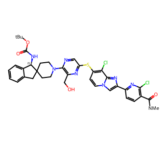 CNC(=O)c1ccc(-c2cn3ccc(Sc4cnc(N5CCC6(CC5)Cc5ccccc5[C@H]6NC(=O)OC(C)(C)C)c(CO)n4)c(Cl)c3n2)nc1Cl